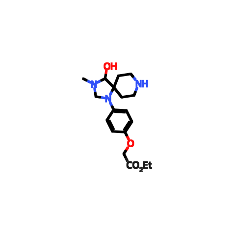 CCOC(=O)COc1ccc(N2CN(C)C(O)C23CCNCC3)cc1